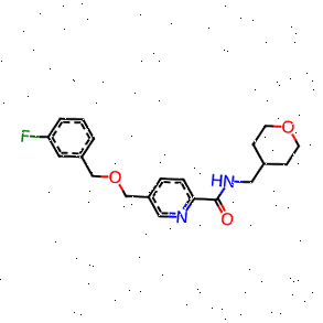 O=C(NCC1CCOCC1)c1ccc(COCc2cccc(F)c2)cn1